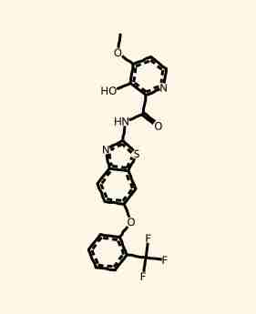 COc1ccnc(C(=O)Nc2nc3ccc(Oc4ccccc4C(F)(F)F)cc3s2)c1O